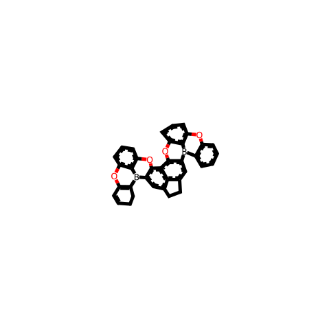 C1=CC2=C(CC1)B1c3cc4c5c(cc6c(c5c3Oc3cccc(c31)O2)Oc1cccc2c1B6c1ccccc1O2)CC4